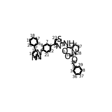 O=C(Nc1nc(-c2ccc(-n3nncc3-c3ccccc3)cc2)cs1)C1CCCN1C(=O)OCc1ccccc1